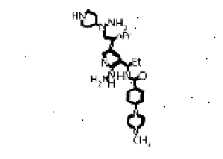 CCC/C(=C\N(N)C1CCNCC1)c1cnc(NN)c(C(CC)NC(=O)c2ccc(N3CCN(C)CC3)cc2)c1